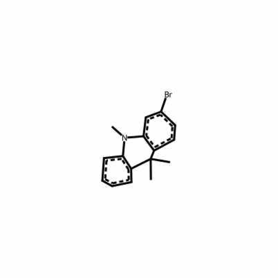 CN1c2ccccc2C(C)(C)c2ccc(Br)cc21